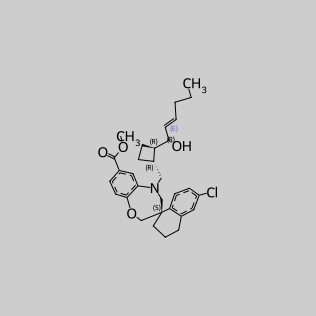 CCC/C=C/[C@H](O)[C@@H]1CC[C@H]1CN1C[C@@]2(CCCc3cc(Cl)ccc32)COc2ccc(C(=O)OC)cc21